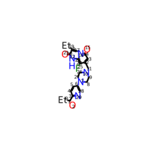 CCC(=O)c1ccc(N2CCN(Cc3cc(=O)n4cc(CC)c(=O)[nH]c4c3F)CC2)cn1